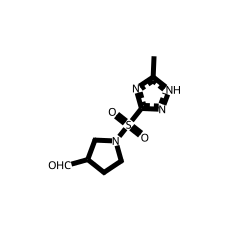 Cc1nc(S(=O)(=O)N2CCC(C=O)C2)n[nH]1